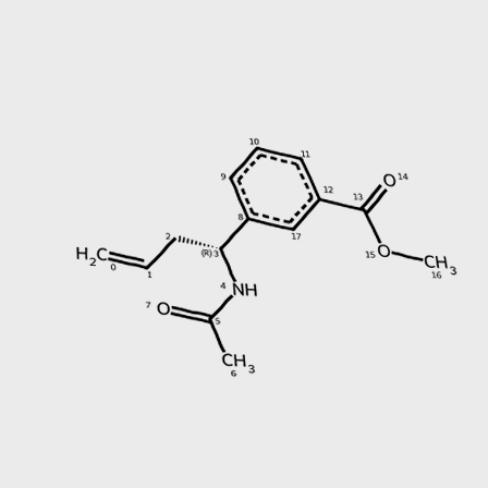 C=CC[C@@H](NC(C)=O)c1cccc(C(=O)OC)c1